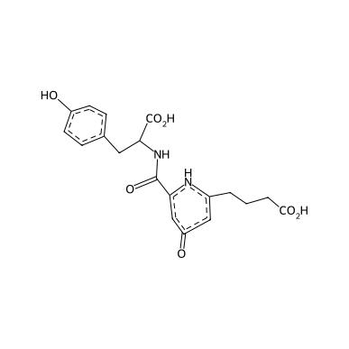 O=C(O)CCCc1cc(=O)cc(C(=O)NC(Cc2ccc(O)cc2)C(=O)O)[nH]1